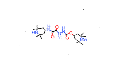 CC1(C)CC(NC(=O)C(=O)NNC(=O)OC2CC(C)(C)NC(C)(C)C2)CC(C)(C)N1